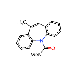 CNC(=O)N1c2ccccc2C=C(C)c2ccccc21